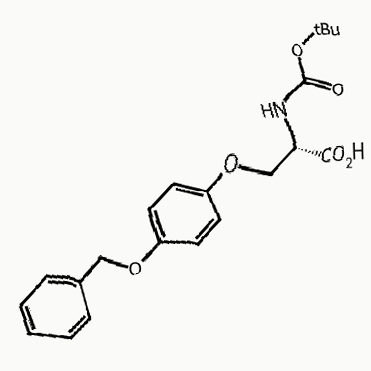 CC(C)(C)OC(=O)N[C@@H](COc1ccc(OCc2ccccc2)cc1)C(=O)O